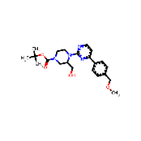 COCc1ccc(-c2ccnc(N3CCN(C(=O)OC(C)(C)C)CC3CO)n2)cc1